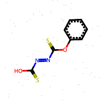 OC(=S)N=NC(=S)Oc1ccccc1